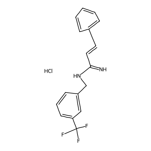 Cl.N=C(C=Cc1ccccc1)NCc1cccc(C(F)(F)F)c1